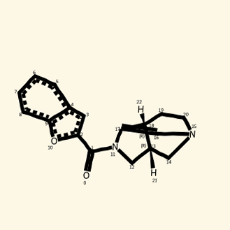 O=C(c1cc2ccccc2o1)N1C[C@H]2CN3C=C1[C@@H]2CC3